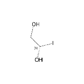 OC[C@@H](O)I